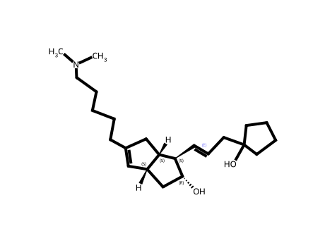 CN(C)CCCCCC1=C[C@H]2C[C@@H](O)[C@H](/C=C/CC3(O)CCCC3)[C@H]2C1